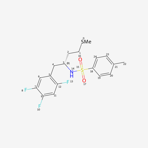 CSCC[C@@H](Cc1cc(F)c(F)cc1F)NS(=O)(=O)c1ccc(C)cc1